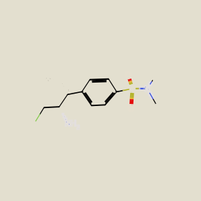 CO[C@H](c1ccc(S(=O)(=O)N(C)C)cc1)[C@H](N)CF